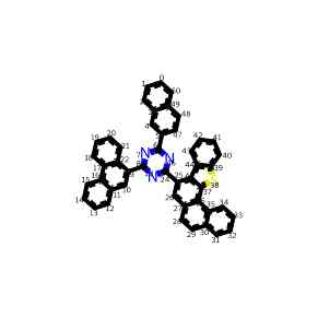 c1ccc2cc(-c3nc(-c4cc5ccccc5c5ccccc45)nc(-c4cc5ccc6ccccc6c5c5sc6ccccc6c45)n3)ccc2c1